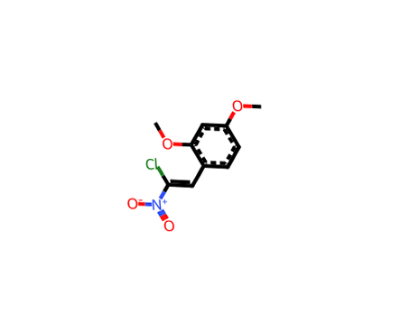 COc1ccc(/C=C(\Cl)[N+](=O)[O-])c(OC)c1